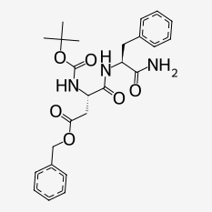 CC(C)(C)OC(=O)N[C@@H](CC(=O)OCc1ccccc1)C(=O)N[C@@H](Cc1ccccc1)C(N)=O